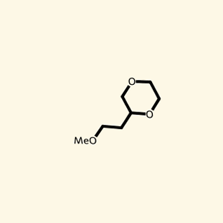 COCCC1COCCO1